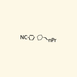 CCCC=C[C@H]1CC[C@H](c2ccc(C#N)cc2)CC1